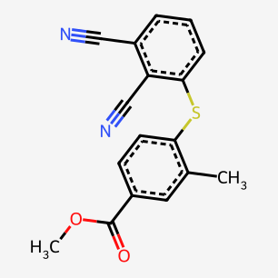 COC(=O)c1ccc(Sc2cccc(C#N)c2C#N)c(C)c1